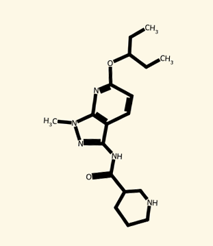 CCC(CC)Oc1ccc2c(NC(=O)C3CCCNC3)nn(C)c2n1